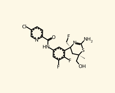 C[C@]1(CO)C[C@@](CF)(c2cc(NC(=O)c3ccc(Cl)cn3)cc(F)c2F)N=C(N)S1